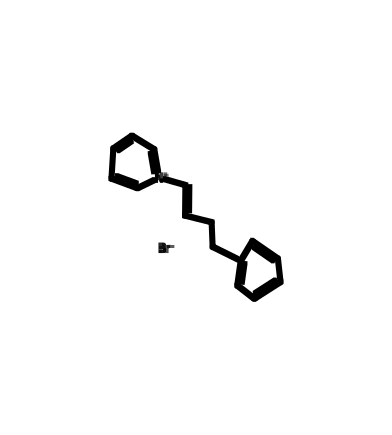 C(=C[n+]1ccccc1)CCc1ccccc1.[Br-]